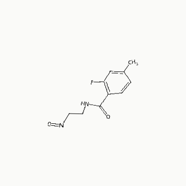 Cc1ccc(C(=O)NCCN=O)c(F)c1